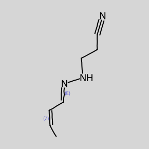 C/C=C\C=N\NCCC#N